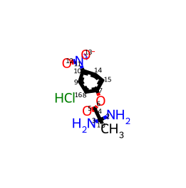 CC(N)(N)C(=O)Oc1ccc([N+](=O)[O-])cc1.Cl